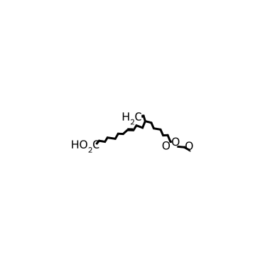 C=CC(CCC=CCCCCCCC(=O)O)CCCCCC(=O)OCC1CO1